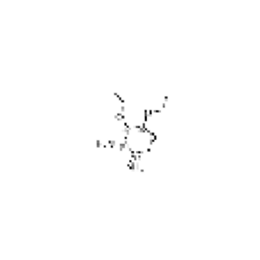 CCO[C@H]1OC[C@@H](N)[C@H](N)[C@H]1OCC